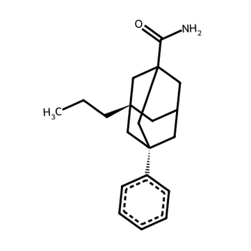 CCC[C@]12CC3CC(C(N)=O)(C1)C[C@@](c1ccccc1)(C3)C2